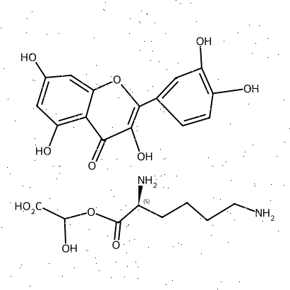 NCCCC[C@H](N)C(=O)OC(O)C(=O)O.O=c1c(O)c(-c2ccc(O)c(O)c2)oc2cc(O)cc(O)c12